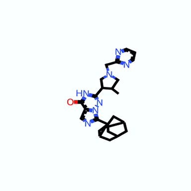 CC1CN(Cc2ncccn2)CC1c1nn2c(C34CC5CC(CC(C5)C3)C4)ncc2c(=O)[nH]1